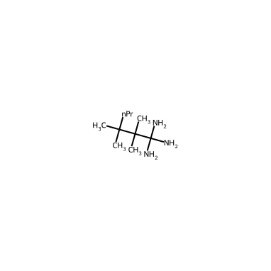 CCCC(C)(C)C(C)(C)C(N)(N)N